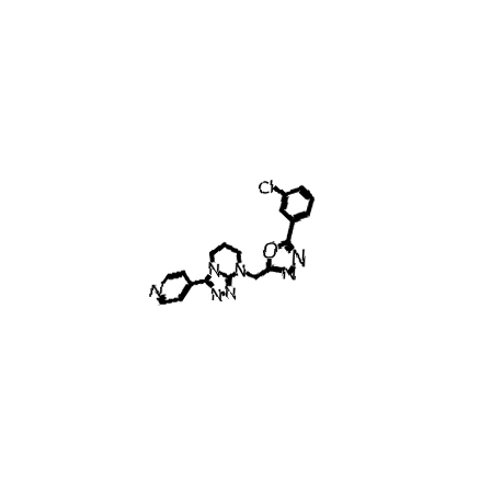 Clc1cccc(-c2nnc(CN3CCCn4c(-c5ccncc5)nnc43)o2)c1